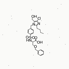 CCCCc1nc(Cl)c(CO)n1Cc1ccc(S(=O)(=O)NC(COCc2ccccc2)C(=O)O)cc1